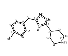 Fc1ccc(Cc2noc(C3CCNCC3)n2)cc1